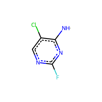 [NH]c1nc(F)ncc1Cl